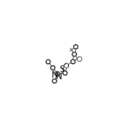 CC1(C)c2ccccc2-c2cc3c(cc21)-c1cc(C2=CC4c5cccc(-c6cc(-c7ccc(-c8ccccc8)cc7)nc(-c7ccccc7)n6)c5SC4C=C2)ccc1C31CCCCC1